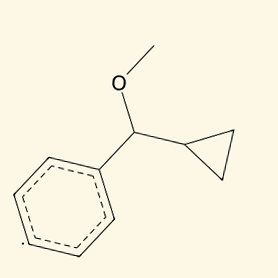 COC(c1cc[c]cc1)C1CC1